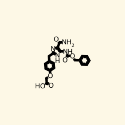 NC(=O)c1nc(Cc2ccc(OCC(=O)O)cc2)[nH]c1NC(=O)OCc1ccccc1